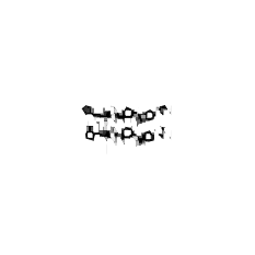 CCN1CCCC1CNC(=O)Nc1nc2cc(OS(=O)(=O)c3ccc(-n4ccnc4)cc3)ccc2[nH]1.O=C(NCCN1CCCC1)Nc1nc2cc(OS(=O)(=O)c3ccc(-n4ccnc4)cc3)ccc2[nH]1